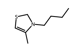 CCCCN1CSC=C1C